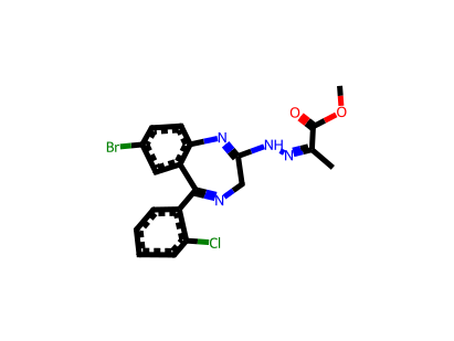 COC(=O)C(C)=NNC1=Nc2ccc(Br)cc2C(c2ccccc2Cl)=NC1